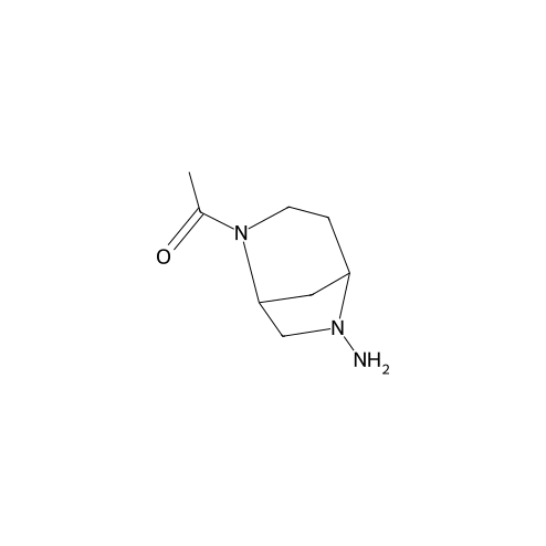 CC(=O)N1CCC2CC1CN2N